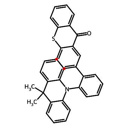 CC1(C)c2ccccc2N(c2ccccc2-c2ccc3sc4ccccc4c(=O)c3c2)c2ccccc21